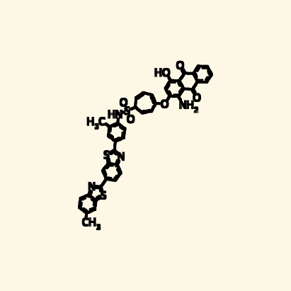 Cc1ccc2nc(-c3ccc4nc(-c5ccc(NS(=O)(=O)C6C=CC=C(Oc7cc(O)c8c(c7N)C(=O)c7ccccc7C8=O)C=C6)c(C)c5)sc4c3)sc2c1